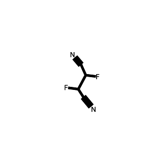 N#CC(F)C(F)C#N